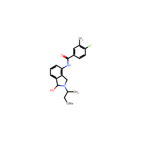 COCC(C)N1Cc2c(NC(=O)c3ccc(F)c(C(F)(F)F)c3)cccc2C1O